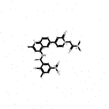 Cc1cc(N[C@H](C)c2cc([N+](=O)[O-])cc(C)c2F)c2cc(-c3ccn(CC(=O)N(C)C)c(=O)c3)ccc2n1